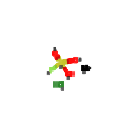 Cl.O=S(=O)(O)F.[Nb]